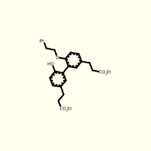 CCOC(=O)CCc1ccc(O)c(-c2cc(CCC(=O)OCC)ccc2OCCC(C)C)c1